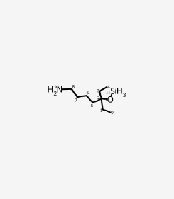 CCC(CC)(CCCCN)O[SiH3]